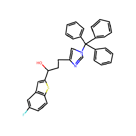 OC(CCc1cn(C(c2ccccc2)(c2ccccc2)c2ccccc2)cn1)c1cc2cc(F)ccc2s1